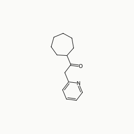 O=C(Cc1ccccn1)C1CCCCCC1